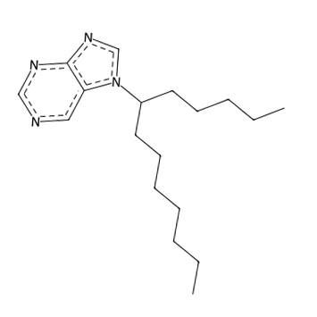 CCCCCCCC(CCCCC)n1cnc2ncncc21